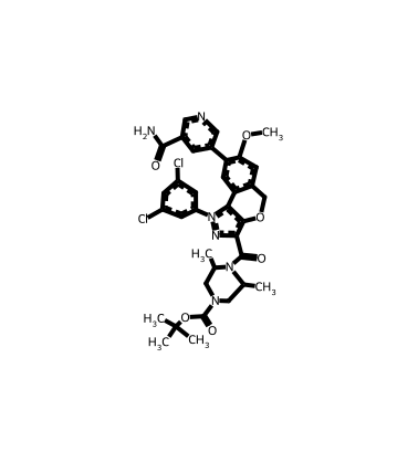 COc1cc2c(cc1-c1cncc(C(N)=O)c1)-c1c(c(C(=O)N3C(C)CN(C(=O)OC(C)(C)C)CC3C)nn1-c1cc(Cl)cc(Cl)c1)OC2